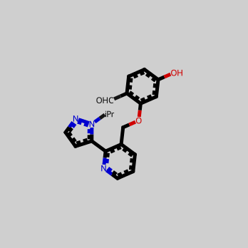 CC(C)n1nccc1-c1ncccc1COc1cc(O)ccc1C=O